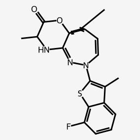 CC1=C2C=CN(c3sc4c(F)cccc4c3C)N=C3NC(C)C(=O)OC32C=CC1